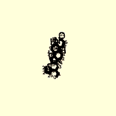 CCC(C[C@H]1CC[C@H]2[C@@H]3CC[C@H]4N(C)C(=O)C=C[C@]4(C)[C@H]3CC[C@]12C)c1cccs1